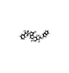 CC(C)CC(NC(=O)Oc1cc2sccc2s1)C(=O)N1CCC2C1C(=O)CN2S(=O)(=O)C(=O)c1cccnc1